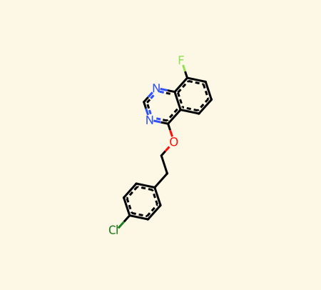 Fc1cccc2c(OCCc3ccc(Cl)cc3)ncnc12